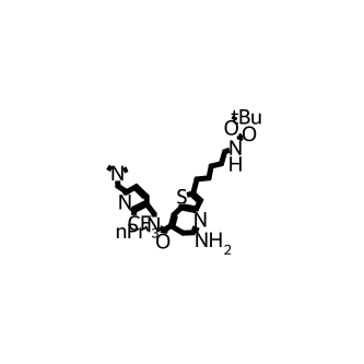 CCCN(Cc1ccc(CN(C)C)nc1C(F)(F)F)C(=O)C1=Cc2sc(CCCCCNC(=O)OC(C)(C)C)cc2N=C(N)C1